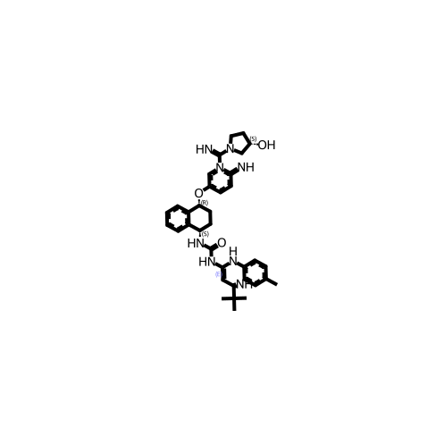 Cc1ccc(N/C(=C\C(=N)C(C)(C)C)NC(=O)N[C@H]2CC[C@@H](Oc3ccc(=N)n(C(=N)N4CC[C@H](O)C4)c3)c3ccccc32)cc1